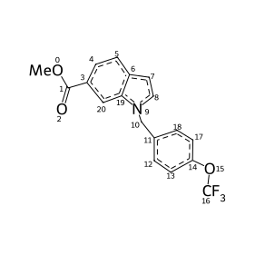 COC(=O)c1ccc2ccn(Cc3ccc(OC(F)(F)F)cc3)c2c1